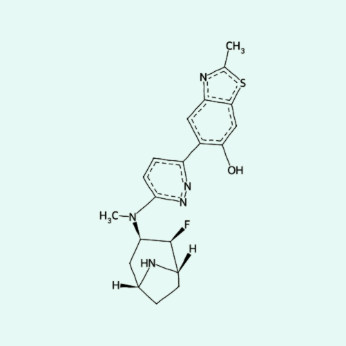 Cc1nc2cc(-c3ccc(N(C)[C@@H]4C[C@H]5CC[C@H](N5)[C@@H]4F)nn3)c(O)cc2s1